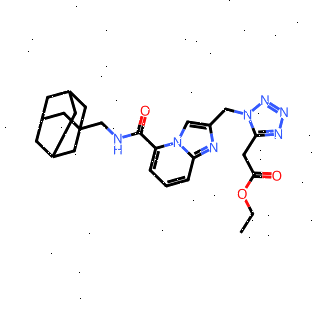 CCOC(=O)Cc1nnnn1Cc1cn2c(C(=O)NCC34CC5CC(CC(C5)C3)C4)cccc2n1